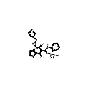 O=c1c(C2=NS(O)(O)c3ccccc3N2)c(O)c2sccc2n1NCc1ccoc1